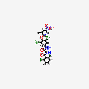 Cc1cc([N+](=O)[O-])cnc1Oc1c(Br)cc(NC(=O)NC(=O)c2c(F)cccc2F)cc1Br